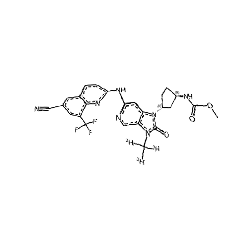 [2H]C([2H])([2H])n1c(=O)n([C@@H]2CC[C@@H](NC(=O)OC)C2)c2cc(Nc3ccc4cc(C#N)cc(C(F)(F)F)c4n3)ncc21